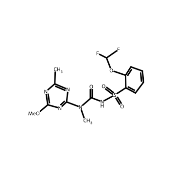 COc1nc(C)nc(N(C)C(=O)NS(=O)(=O)c2ccccc2OC(F)F)n1